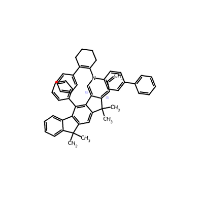 C=C/C=C1\C(=C/N(C2=C(c3ccccc3)CCCC2)c2ccc(-c3ccccc3)cc2)c2c(cc3c(c2-c2ccccc2)-c2ccccc2C3(C)C)C1(C)C